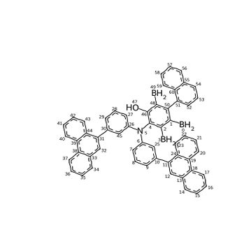 Bc1c(B)c(N(c2cccc(-c3cc4ccccc4c4ccccc34)c2)c2cccc(-c3cc4ccccc4c4ccccc34)c2)c(O)c(B)c1-c1cccc2ccccc12